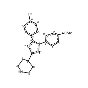 COc1ccc(-c2nc(C3CCNCC3)oc2-c2ccc(F)cc2)cc1